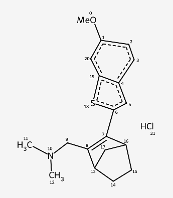 COc1ccc2cc(C3=C(CN(C)C)C4CCC3C4)sc2c1.Cl